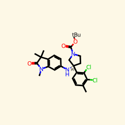 Cc1ccc([C@]2(Nc3ccc4c(c3)N(C)C(=O)C4(C)C)CCN(C(=O)OC(C)(C)C)C2)c(Cl)c1Cl